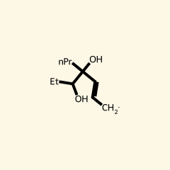 [CH2]/C=C/C(O)(CCC)C(O)CC